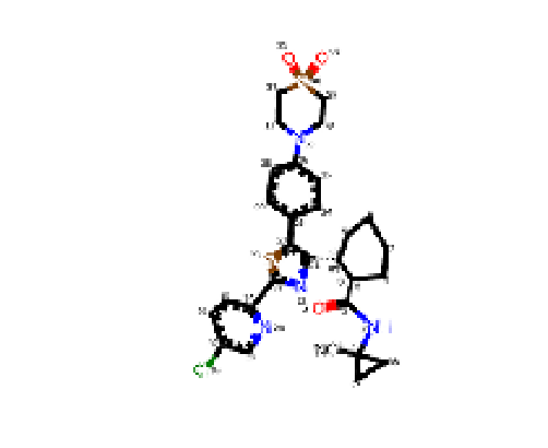 N#CC1(NC(=O)[C@@H]2CCCC[C@H]2c2nc(-c3ccc(Cl)cn3)sc2-c2ccc(N3CCS(=O)(=O)CC3)cc2)CC1